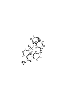 NC(=O)c1cccc(C(F)(F)F)c1-c1cccc(Oc2ccc3nccnc3c2)c1